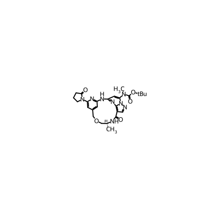 C[C@@H]1COCc2cc(nc(N3CCCC3=O)c2)Nc2cc(N(C)C(=O)OC(C)(C)C)n3ncc(c3n2)C(=O)N1